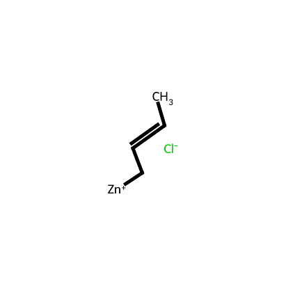 CC=C[CH2][Zn+].[Cl-]